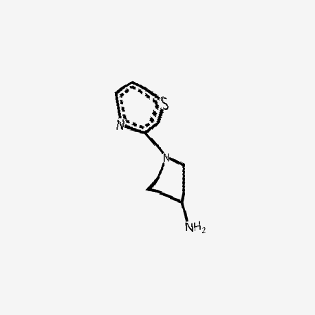 NC1CN(c2nccs2)C1